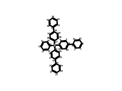 c1ccc(-c2ccc([B-](c3ccccc3)(c3ccc(-c4ccccc4)cc3)c3ccc(-c4ccccc4)cc3)cc2)cc1